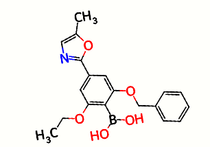 CCOc1cc(-c2ncc(C)o2)cc(OCc2ccccc2)c1B(O)O